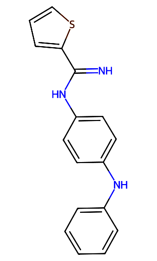 N=C(Nc1ccc(Nc2ccccc2)cc1)c1cccs1